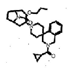 CCCOC(=O)N1C2CCC(N3CCC4(CC3)CN(C(=O)C3CC3)Cc3ccccc34)CC1CC2